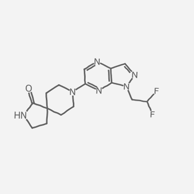 O=C1NCCC12CCN(c1cnc3cnn(CC(F)F)c3n1)CC2